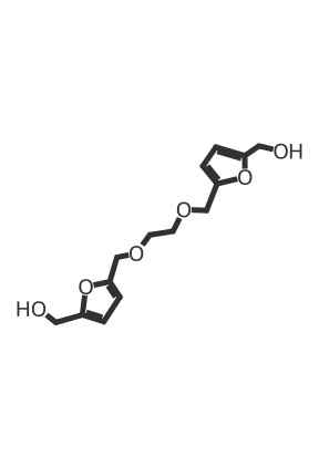 OCc1ccc(COCCOCc2ccc(CO)o2)o1